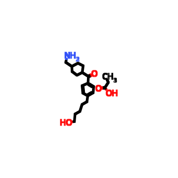 CCC(=O)O.NCC1CCC(C(=O)c2ccc(CCCCCO)cc2)CC1